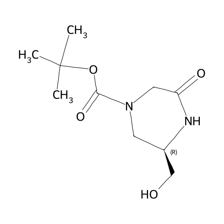 CC(C)(C)OC(=O)N1CC(=O)N[C@@H](CO)C1